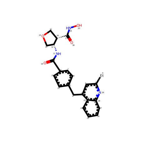 CCc1cc(Cc2ccc(C(=O)N[C@@H]3COC[C@@H]3C(=O)NO)cc2)c2ccccc2n1